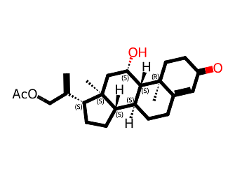 C=C(COC(C)=O)[C@H]1CC[C@H]2[C@@H]3CCC4=CC(=O)CC[C@]4(C)[C@H]3[C@@H](O)C[C@]12C